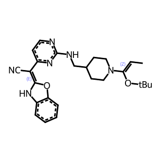 C/C=C(\OC(C)(C)C)N1CCC(CNc2nccc(/C(C#N)=C3/Nc4ccccc4O3)n2)CC1